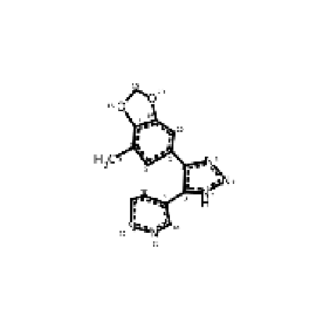 Cc1cc(-c2nn[nH]c2-c2ccnnc2)cc2c1OCO2